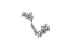 CCOc1cc(C(=O)N2CCC(N3CCN(CCCCOc4cccc5c4C(=O)N(C4CCC(=O)NC4=O)C5=O)CC3)CC2)ccc1Nc1ncc2c(n1)Nc1ccccc1C(=O)N2